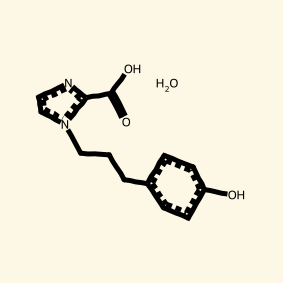 O.O=C(O)c1nccn1CCCc1ccc(O)cc1